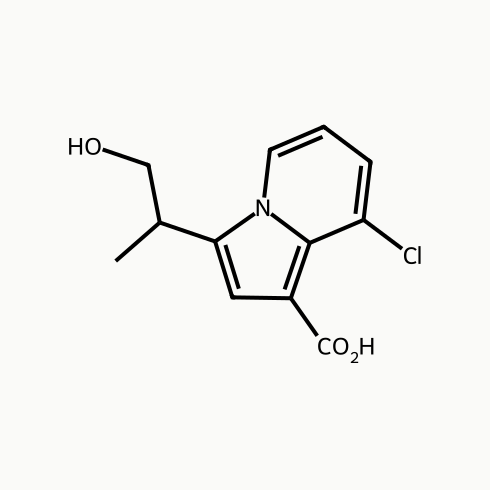 CC(CO)c1cc(C(=O)O)c2c(Cl)cccn12